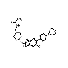 CC(=O)NC[C@H]1CC[C@H](Oc2nc3nc(-c4ccc(N5CCOCC5)cc4)c(Cl)cc3[nH]2)CC1